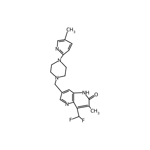 Cc1ccc(N2CCN(Cc3cnc4c(C(F)F)c(C)c(=O)[nH]c4c3)CC2)nc1